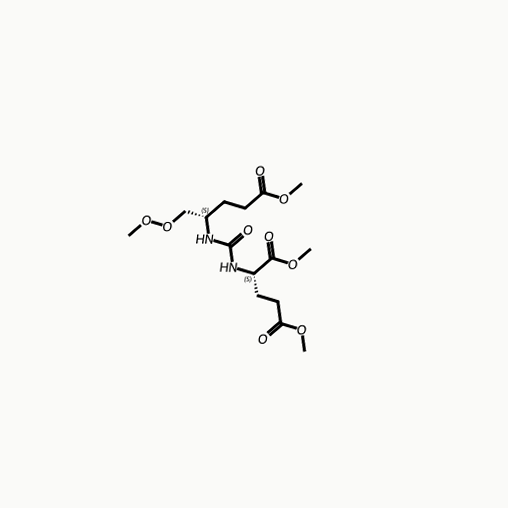 COOC[C@H](CCC(=O)OC)NC(=O)N[C@@H](CCC(=O)OC)C(=O)OC